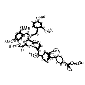 CCCC(C)Nc1nc(N(Cc2ccc(OC)cc2OC)Cc2ccc(OC)cc2OC)c2ncc(C(O)c3cnc(C4CCN(C(=O)OC(C)(C)C)CC4)c(C)c3)n2n1